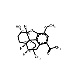 COc1cc(C(C)=O)c2c3c1O[C@H]1[C@@H](O)CC[C@H]4[C@@H](C2)N(C)CC[C@@]341